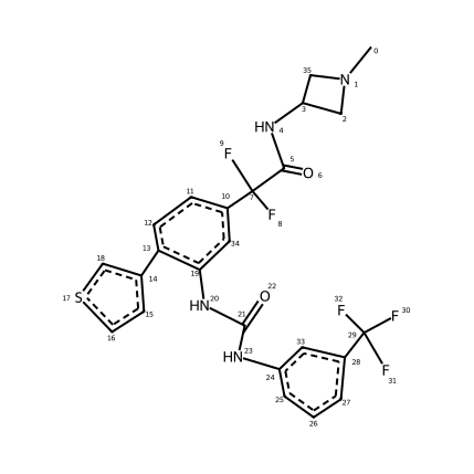 CN1CC(NC(=O)C(F)(F)c2ccc(-c3ccsc3)c(NC(=O)Nc3cccc(C(F)(F)F)c3)c2)C1